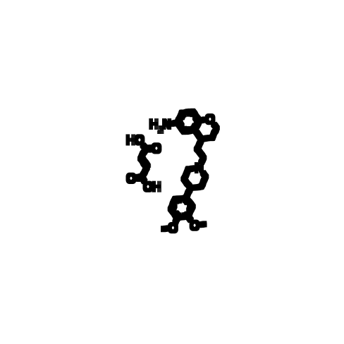 COc1ccc(C2CCN(CCC3CCOc4ccc(N)cc43)CC2)cc1OC.O=C(O)C=CC(=O)O